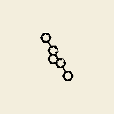 c1ccc(-c2cnc3c(ccc4cc(-c5ccccc5)cnc43)c2)cc1